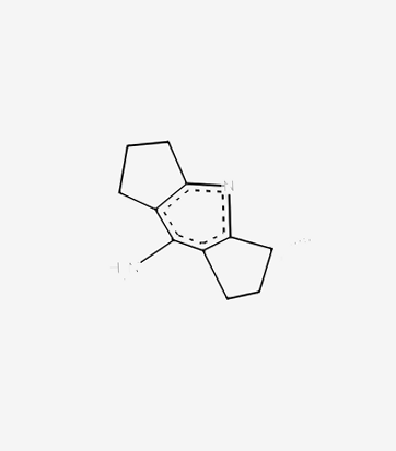 C[C@@H]1CCc2c1nc1c(c2N)CCC1